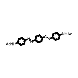 CC(=O)Nc1ccc(N=Nc2ccc(N=Nc3ccc(NC(C)=O)cc3)cc2)cc1